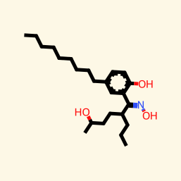 CCCCCCCCCc1ccc(O)c(C(=NO)C(CCC)CCC(C)O)c1